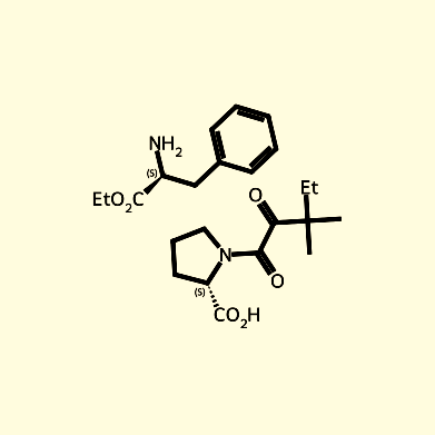 CCC(C)(C)C(=O)C(=O)N1CCC[C@H]1C(=O)O.CCOC(=O)[C@@H](N)Cc1ccccc1